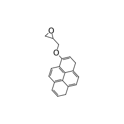 C1=Cc2ccc3c4c(ccc(c24)C1)CC=C3OCC1CO1